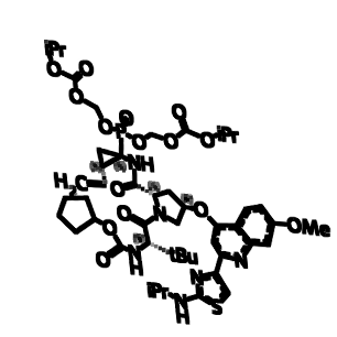 C=C[C@@H]1C[C@]1(NC(=O)[C@@H]1C[C@@H](Oc2cc(-c3csc(NC(C)C)n3)nc3cc(OC)ccc23)CN1C(=O)[C@@H](NC(=O)OC1CCCC1)C(C)(C)C)P(=O)(OCOC(=O)OC(C)C)OCOC(=O)OC(C)C